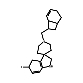 FC1C=CC2=C(C1)C1(CCN(CC3CC4CCC=CC43)CC1)CN2